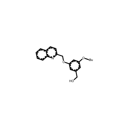 CCC(C)Oc1cc(CO)cc(OCc2ccc3ccccc3n2)c1